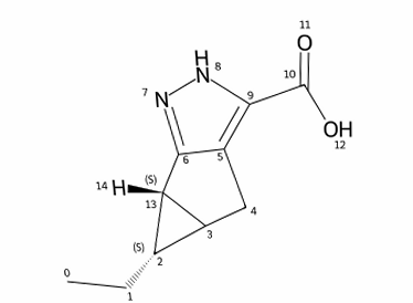 CC[C@H]1C2Cc3c(n[nH]c3C(=O)O)[C@H]21